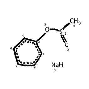 CS(=O)Oc1ccccc1.[NaH]